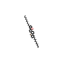 CCCCCCCCCCc1ccc2oc3c(ccc4c3ccc3c5cc(CCCCCCCCCC)ccc5sc34)c2c1